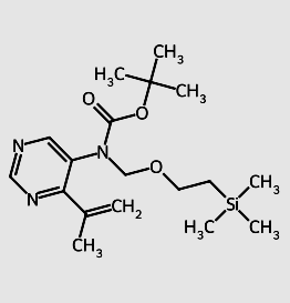 C=C(C)c1ncncc1N(COCC[Si](C)(C)C)C(=O)OC(C)(C)C